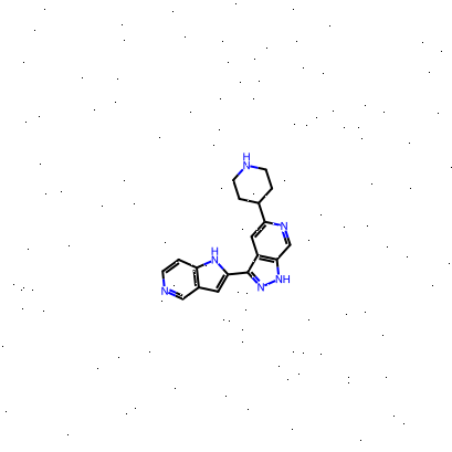 c1cc2[nH]c(-c3n[nH]c4cnc(C5CCNCC5)cc34)cc2cn1